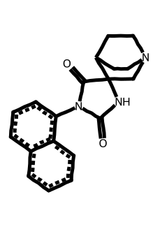 O=C1NC2(CN3CCC2CC3)C(=O)N1c1cccc2ccccc12